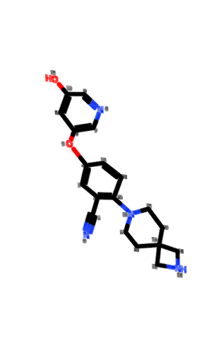 N#Cc1cc(Oc2cncc(O)c2)ccc1N1CCC2(CC1)CNC2